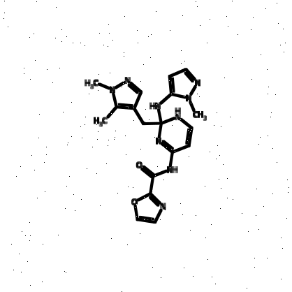 Cc1c(CC2(Nc3ccnn3C)N=C(NC(=O)c3ncco3)C=CN2)cnn1C